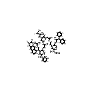 CCCCNC(=O)CN(CCOC(=O)CSC(=S)N(CCOC(=O)CSC(=S)N(CCOC(=O)CSC(=S)N(C)Cc1ccc2ccccc2c1)CC(=O)Nc1ccccn1)CC(=O)N(CC)CC)C(=S)SCC(=O)N(c1ccccc1)c1ccccc1